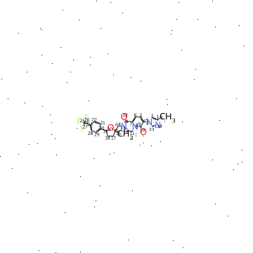 Cc1cn(-c2ccc3n(c2=O)CCN(CC2(C)CCC(c4ccc(C(F)(F)F)cc4)O2)C3=O)cn1